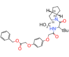 CC(C)(C)C(NC(=O)COc1ccc(OCC(=O)OCc2ccccc2)cc1)C(=O)N1[C@H](C(=O)O)C[C@@H]2CCC[C@@H]21